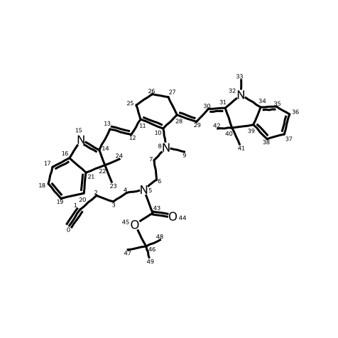 C#CCCCN(CCN(C)C1=C(/C=C/C2=Nc3ccccc3C2(C)C)CCC/C1=C\C=C1\N(C)c2ccccc2C1(C)C)C(=O)OC(C)(C)C